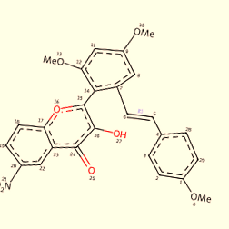 COc1ccc(/C=C/c2cc(OC)cc(OC)c2-c2oc3ccc([N+](=O)[O-])cc3c(=O)c2O)cc1